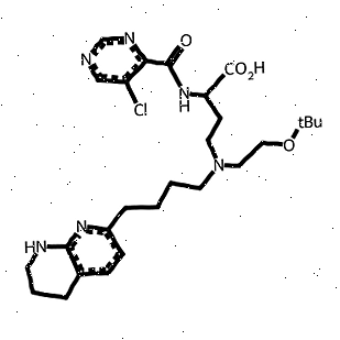 CC(C)(C)OCCN(CCCCc1ccc2c(n1)NCCC2)CCC(NC(=O)c1ncncc1Cl)C(=O)O